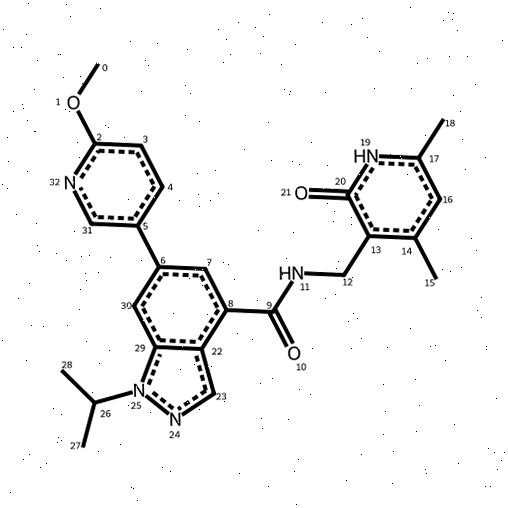 COc1ccc(-c2cc(C(=O)NCc3c(C)cc(C)[nH]c3=O)c3cnn(C(C)C)c3c2)cn1